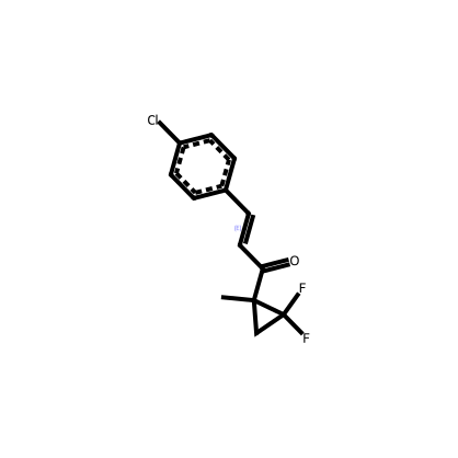 CC1(C(=O)/C=C/c2ccc(Cl)cc2)CC1(F)F